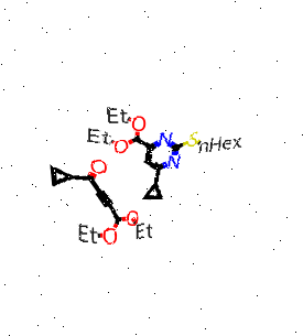 CCCCCCSc1nc(C2CC2)cc(C(OCC)OCC)n1.CCOC(C#CC(=O)C1CC1)OCC